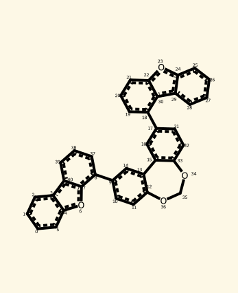 c1ccc2c(c1)oc1c(-c3ccc4c(c3)-c3cc(-c5cccc6oc7ccccc7c56)ccc3OCO4)cccc12